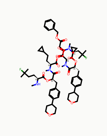 CN[C@@H](CCC(C)(C)F)C(=O)O[C@H](Cc1ccc(C2CCOCC2)cc1)C(=O)N(C)[C@@H](CCC1CC1)C(=O)OCC(=O)N(C)[C@@H](CC(C)(C)F)C(=O)O[C@H](Cc1ccc(C2CCOCC2)cc1)C(=O)N(C)[C@@H](CC1CC1)C(=O)OCC(=O)OCc1ccccc1